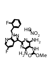 COC(=O)Nc1c(N)nc(-c2nn(Cc3ccccc3F)c3ncc(F)cc23)nc1N.O=[N+]([O-])O